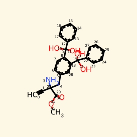 C#CC(N)(Cc1ccc(C(O)(O)c2ccccc2)c(C(O)(O)c2ccccc2)c1)C(=O)OC